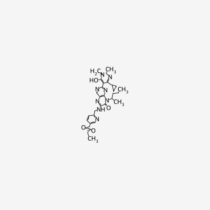 C=N/C(O)=C(\C(=N/CC)C1CC1)c1ncc2nc(NCc3ccc(S(=O)(=O)CC)cn3)c(=O)n([C@H](C)CCC)c2n1